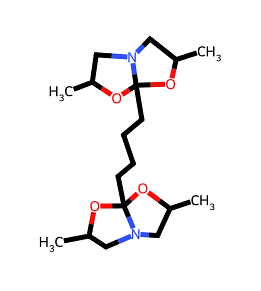 CC1CN2CC(C)OC2(CCCCC23OC(C)CN2CC(C)O3)O1